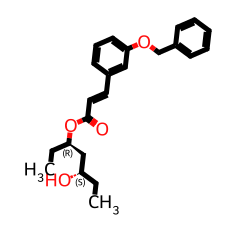 CC[C@H](O)C[C@@H](CC)OC(=O)C=Cc1cccc(OCc2ccccc2)c1